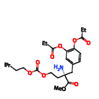 CCC(=O)Oc1ccc(C[C@](N)(CCOC(=O)OCCC(C)C)C(=O)OC)cc1OC(=O)CC